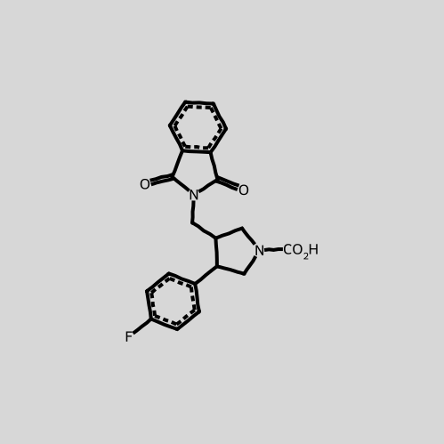 O=C(O)N1CC(CN2C(=O)c3ccccc3C2=O)C(c2ccc(F)cc2)C1